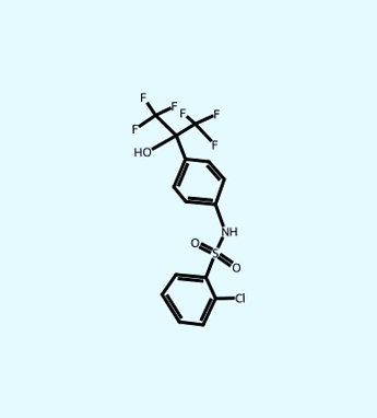 O=S(=O)(Nc1ccc(C(O)(C(F)(F)F)C(F)(F)F)cc1)c1ccccc1Cl